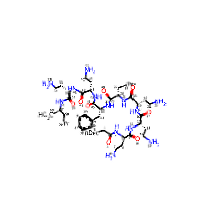 CCCCCCCCCCCC(=O)N[C@H](CCN)C(=O)N[C@@H](CCN)C(=O)N[C@@H](CCN)C(=O)N[C@@H](CC(C)C)C(=O)N[C@H](Cc1ccccc1)C(=O)N[C@@H](CCN)C(=O)N[C@@H](CCN)C(=O)N[C@@H](CC(C)C)C(=O)O